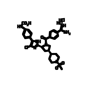 CS(=O)(=O)N1CCC([C@H]2C[C@@H](c3nc(Cl)c(-c4ccc(NC(=O)O)cc4)[nH]3)N(C(=O)c3ccc(C(=N)N)cc3)C2)CC1.Cl.Cl